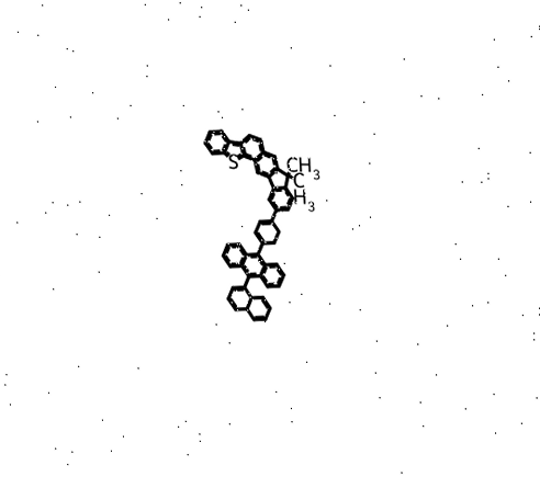 CC1(C)c2ccc(C3=CC=C(c4c5ccccc5c(C5=CC=CC6C=CC=CC56)c5ccccc45)CC3)cc2-c2cc3c(ccc4c5ccccc5sc34)cc21